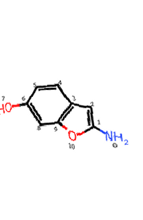 Nc1cc2ccc(O)cc2o1